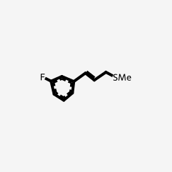 CSC/C=C/c1cccc(F)c1